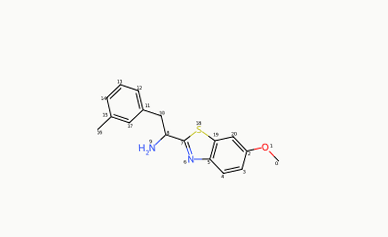 COc1ccc2nc(C(N)Cc3cccc(C)c3)sc2c1